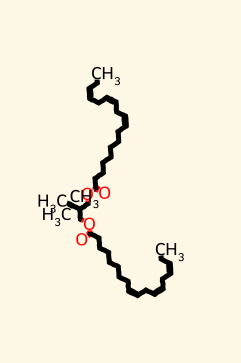 CC/C=C\C/C=C\C/C=C\CCCCCCCC(=O)OCC(COC(=O)CCCCCCC/C=C\C/C=C\C/C=C\CC)C(C)(C)C